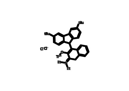 CC[Si](CC)=C1Cc2ccccc2C(C2c3ccc(C(C)(C)C)cc3-c3cc(C(C)(C)C)ccc32)=C1[O][Ti+2].[Cl-].[Cl-]